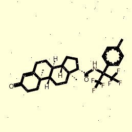 Cc1ccc(C(NC(=O)[C@H]2CC[C@H]3[C@@H]4CCC5=CC(=O)CC[C@]5(C)[C@H]4CC[C@]23C)(C(F)(F)F)C(F)(F)F)cc1